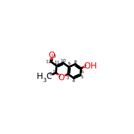 CC1Oc2ccc(O)cc2C=C1C=O